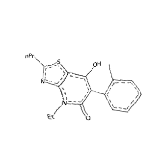 CCCc1nc2c(s1)c(O)c(-c1ccccc1C)c(=O)n2CC